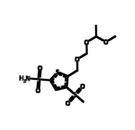 COC(C)OCOCc1sc(S(N)(=O)=O)cc1S(C)(=O)=O